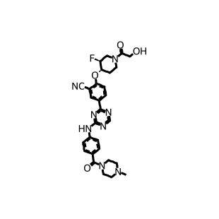 CN1CCN(C(=O)c2ccc(Nc3ncnc(-c4ccc(O[C@H]5CCN(C(=O)CO)C[C@@H]5F)c(C#N)c4)n3)cc2)CC1